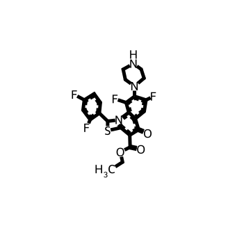 CCOC(=O)c1c2n(c3c(F)c(N4CCNCC4)c(F)cc3c1=O)C(c1ccc(F)cc1F)S2